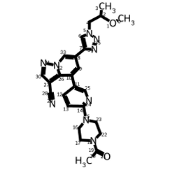 COC(C)Cn1cc(-c2cc(-c3ccc(N4CCN(C(C)=O)CC4)nc3)c3c(C#N)cnn3c2)nn1